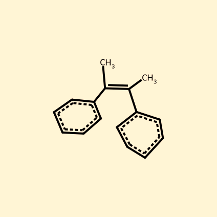 C/C(=C(\C)c1ccccc1)c1ccccc1